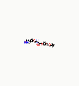 O=C1CCC(c2ccc(OCCNCC(O)COc3ccc(CCOCC4CCC4)cc3)cc2)=NN1